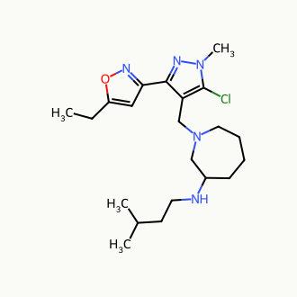 CCc1cc(-c2nn(C)c(Cl)c2CN2CCCCC(NCCC(C)C)C2)no1